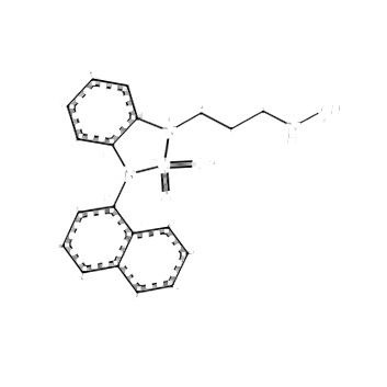 CNCCCN1c2ccccc2N(c2cccc3ccccc23)S1(=O)=O